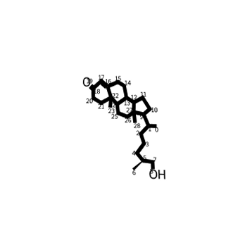 CC(CCC[C@H](C)CO)C1CCC2C3CCC4=CC(=O)CCC4(C)C3CCC12C